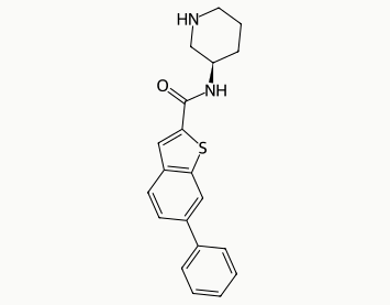 O=C(N[C@@H]1CCCNC1)c1cc2ccc(-c3ccccc3)cc2s1